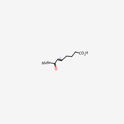 CNC(=O)/C=C/CCCC(=O)O